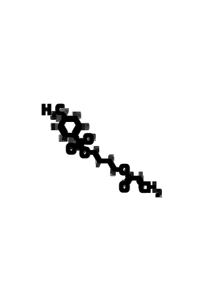 C=CC(=O)OCCCCOS(=O)(=O)c1ccc(C)cc1